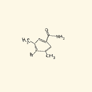 Cc1cc(C(N)=O)cc(C)c1Br